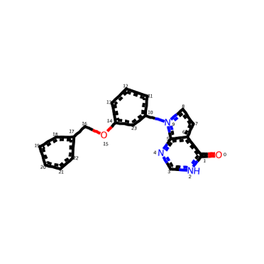 O=c1[nH]cnc2c1ccn2-c1cccc(OCc2ccccc2)c1